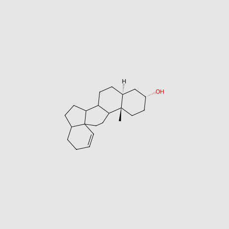 C[C@]12CC[C@@H](O)C[C@@H]1CCC1C3CCC4CCC=CC43CCC12